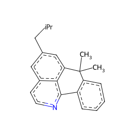 CC(C)Cc1cc2c3c(nccc3c1)-c1ccccc1C2(C)C